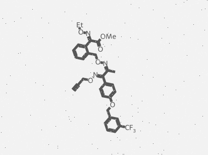 C#CCON=C(C(C)=NOCc1ccccc1C(=NOCC)C(=O)OC)c1ccc(OCc2cccc(C(F)(F)F)c2)cc1